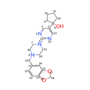 OC1(c2cnc(N3CCN(Cc4ccc5c(c4)OCO5)CC3)nc2)CCCC1